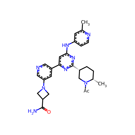 CC(=O)N1C[C@H](c2nc(Nc3ccnc(C)c3)cc(-c3cncc(N4CC(C(N)=O)C4)c3)n2)CC[C@@H]1C